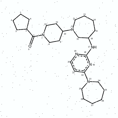 O=C(C1CCCC1)N1CCC(N2CCCCC(Nc3nccc(N4CCCCCC4)n3)C2)CC1